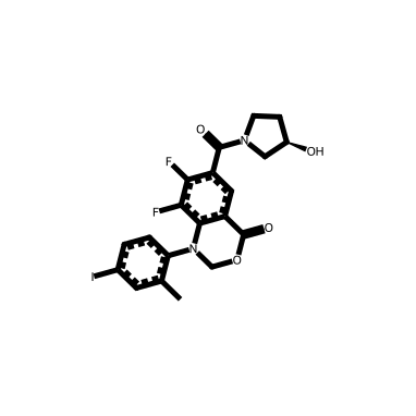 Cc1cc(I)ccc1N1COC(=O)c2cc(C(=O)N3CC[C@@H](O)C3)c(F)c(F)c21